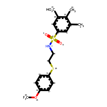 Cc1cc(S(=O)(=O)NCCSc2ccc(OC(F)(F)F)cc2)cc(C(=O)O)c1C